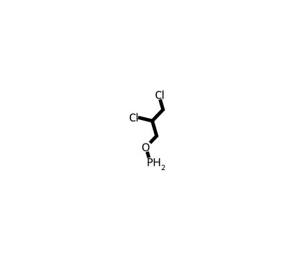 POCC(Cl)CCl